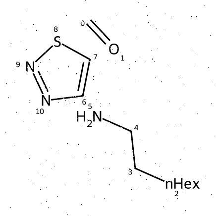 C=O.CCCCCCCCN.c1csnn1